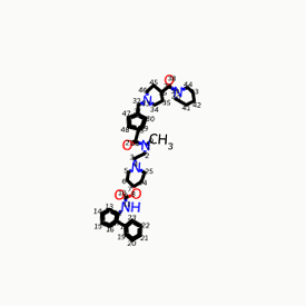 CN(CCN1CCC(OC(=O)Nc2ccccc2-c2ccccc2)CC1)C(=O)c1ccc(CN2CCC(C(=O)N3CCCCC3)CC2)cc1